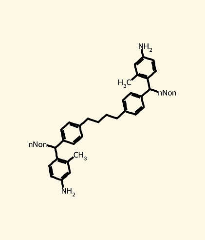 CCCCCCCCCC(c1ccc(CCCCc2ccc(C(CCCCCCCCC)c3ccc(N)cc3C)cc2)cc1)c1ccc(N)cc1C